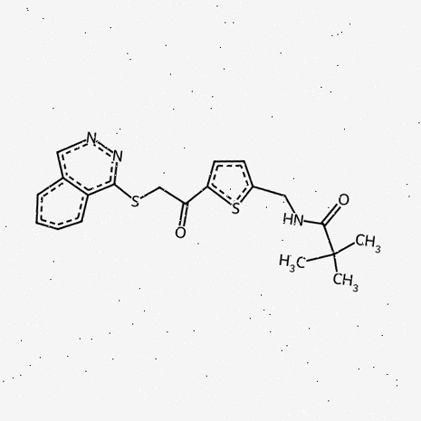 CC(C)(C)C(=O)NCc1ccc(C(=O)CSc2nncc3ccccc23)s1